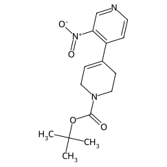 CC(C)(C)OC(=O)N1CC=C(c2ccncc2[N+](=O)[O-])CC1